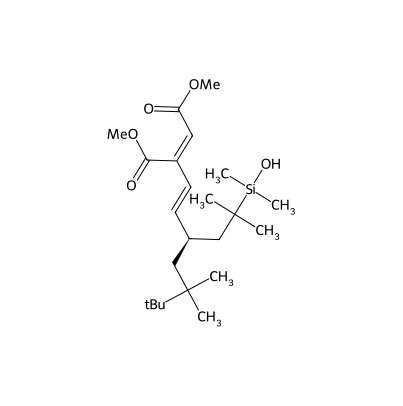 COC(=O)/C=C(/C=C/[C@H](CC(C)(C)C(C)(C)C)CC(C)(C)[Si](C)(C)O)C(=O)OC